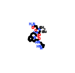 CC[C@H](C)[C@@H](C(=O)NC1CCc2cccc3c2N(C1=O)C(C(=O)NCc1ccn[nH]1)C3)N(C)C(=O)CC(N)=O